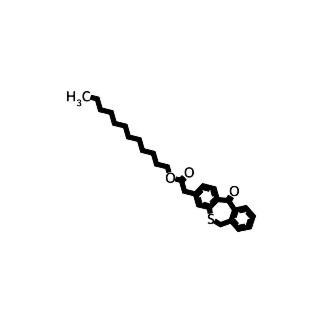 CCCCCCCCCCCCOC(=O)Cc1ccc2c(c1)SCc1ccccc1C2=O